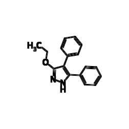 CCOc1n[nH]c(-c2ccccc2)c1-c1ccccc1